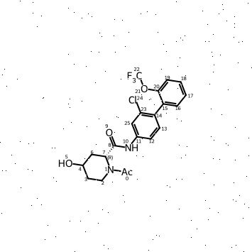 CC(=O)N1CCC(O)C[C@@H]1C(=O)Nc1ccc(-c2ccccc2OC(F)(F)F)c(Cl)c1